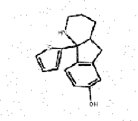 Oc1ccc2c(c1)CC1CCCNC21c1cccs1